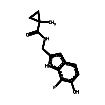 CC1(C(=O)NCc2cc3ccc(O)c(F)c3[nH]2)CC1